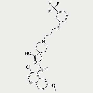 COc1ccc2ncc(Cl)c([C@@H](F)CCC3(C(=O)O)CCN(CCCSc4cccc(C(F)(F)F)c4)CC3)c2c1